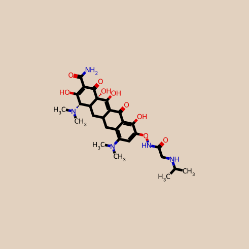 CC(C)NCC(=O)NOc1cc(N(C)C)c2c(c1O)C(=O)C1=C(O)[C@]3(O)C(=O)C(C(N)=O)=C(O)[C@@H](N(C)C)C3CC1C2